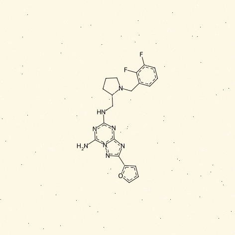 Nc1nc(NCC2CCCN2Cc2cccc(F)c2F)nc2nc(-c3ccco3)nn12